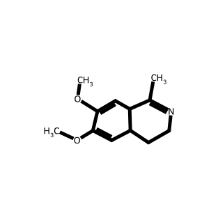 COC1=CC2CCN=C(C)C2C=C1OC